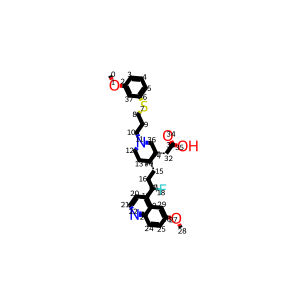 COc1cccc(SCCCN2CC[C@@H](CC[C@@H](F)c3ccnc4ccc(OC)cc34)[C@@H](CC(=O)O)C2)c1